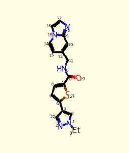 CCn1cc(-c2ccc(C(=O)NCc3ccn4ccnc4c3)s2)cn1